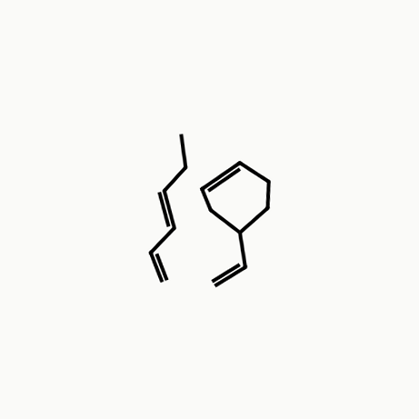 C=CC1CC=CCC1.C=CC=CCC